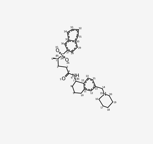 C[C@H](CCC(=O)N[C@@H]1CCCc2cc(CN3CCCCC3)ccc21)S(=O)(=O)c1ccc2ccccc2c1